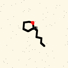 CCCCC[SiH]1CCCCO1